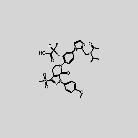 COc1ccc(-n2nc(S(C)(=O)=O)c3c2C(=O)N(c2ccc(-n4ccnc4CN(C(C)=O)C(C)C)cc2)CC3)cc1.O=C(O)C(F)(F)F